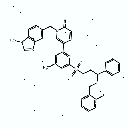 Cc1cc(-c2ccc(=O)n(Cc3ccc4c(c3)ncn4C)c2)nc(S(=O)(=O)CCC(OCc2ccccc2F)c2ccccc2)n1